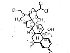 C[C@H]1C[C@H]2[C@@H]3C[C@H](F)C4=CC(=O)C=C[C@]4(C)[C@@]3(F)[C@@H](O)C[C@]2(C)[C@]1(OC(=O)C(Cl)Cl)C(=O)OCCl